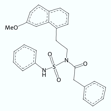 COc1ccc2cccc(CCN(C(=O)Cc3ccccc3)S(=O)(=O)Nc3ccccc3)c2c1